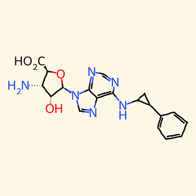 N[C@H]1[C@@H](O)[C@H](n2cnc3c(NC4CC4c4ccccc4)ncnc32)O[C@@H]1C(=O)O